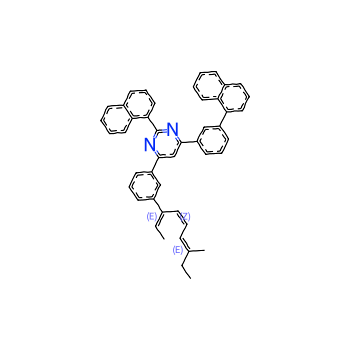 C\C=C(/C=C\C=C(/C)CC)c1cccc(-c2cc(-c3cccc(-c4cccc5ccccc45)c3)nc(-c3cccc4ccccc34)n2)c1